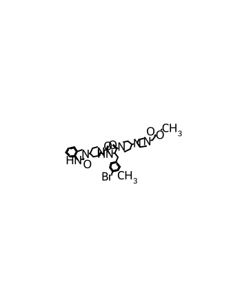 CCOC(=O)CN1CCN(C2CCN(C(=O)C(Cc3ccc(Br)c(C)c3)NC(=O)N3CCC(N4Cc5ccccc5NC4=O)CC3)CC2)CC1